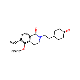 CCCCCOc1c(OC)ccc2c1CCN(CCC1CCC(=O)CC1)C2=O